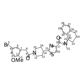 COc1ccc(Br)cc1CC(=O)N1CCC(c2nc(C(=O)N(C)[C@@H]3CCCc4ccccc43)cs2)CC1